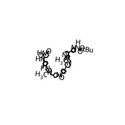 C[C@H]1CN(c2ccc(NC3CCC(=O)NC3=O)cc2F)CCN1CC1CCN(C(=O)c2ccc(C3CCN(Cc4cc5c(-c6ccc(NC(=O)OC(C)(C)C)nc6)ccnc5n4C)CC3)cc2)CC1